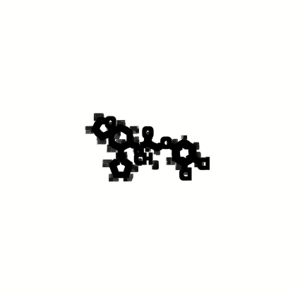 CN(C(=O)COc1ccc(Cl)c(Cl)c1)C1CCC2(CCCO2)CC1N1CCCC1